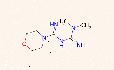 CN(C)C(=N)NC(=N)N1CCOCC1